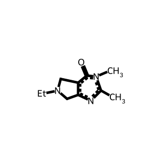 CCN1Cc2nc(C)n(C)c(=O)c2C1